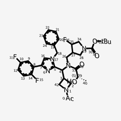 CC(=O)N1CC(C(c2nc(-c3cc(F)ccc3F)cn2Cc2ccccc2)N(CC2CN(C(=O)OC(C)(C)C)CC2F)C(=O)[C@H](C)O)C1